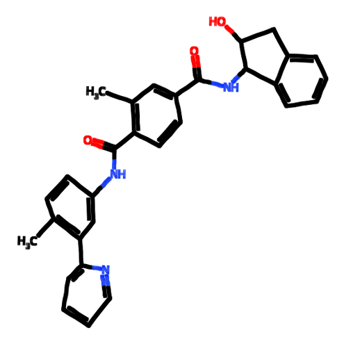 Cc1cc(C(=O)NC2c3ccccc3CC2O)ccc1C(=O)Nc1ccc(C)c(-c2ccccn2)c1